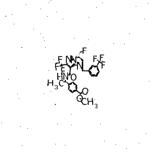 COC(=O)c1ccc(C(C)NC(=O)c2c(C(F)(F)F)nn3c2N(Cc2cccc(C(F)(F)F)c2)C[C@H]3CF)cc1